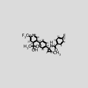 C[C@@H]1C[C@@]1(NC(=O)c1ccc(F)cc1)c1ccc(-c2cnc(C(F)(F)F)cc2C(C)(C)O)nc1